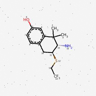 CC1(C)c2cc(O)ccc2C[C@H](SCC(F)(F)F)[C@H]1N